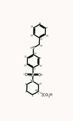 O=C(O)[C@@H]1CCCN(S(=O)(=O)c2ccc(SCc3ccccc3)cc2)C1